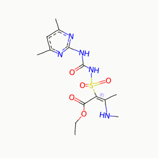 CCOC(=O)/C(=C(/C)NC)S(=O)(=O)NC(=O)Nc1nc(C)cc(C)n1